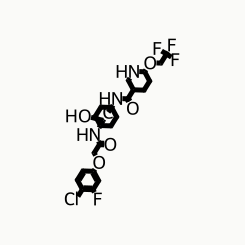 O=C(COc1ccc(Cl)c(F)c1)NC12CCC(NC(=O)C3CCC(OCC(F)(F)F)NC3)(CC1)CC2O